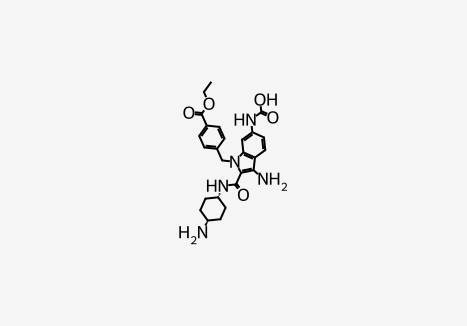 CCOC(=O)c1ccc(Cn2c(C(=O)N[C@H]3CC[C@H](N)CC3)c(N)c3ccc(NC(=O)O)cc32)cc1